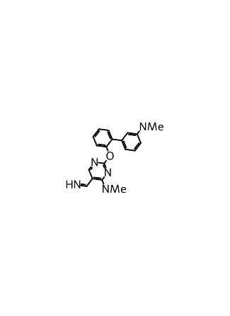 CNc1cccc(-c2ccccc2Oc2ncc(C=N)c(NC)n2)c1